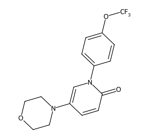 O=c1ccc(N2CCOCC2)cn1-c1ccc(OC(F)(F)F)cc1